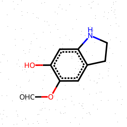 O=COc1cc2c(cc1O)NCC2